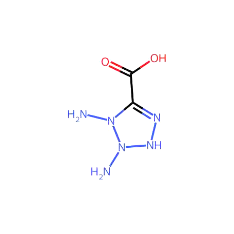 NN1NN=C(C(=O)O)N1N